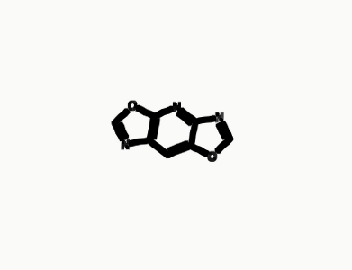 c1nc2nc3ocnc3cc2o1